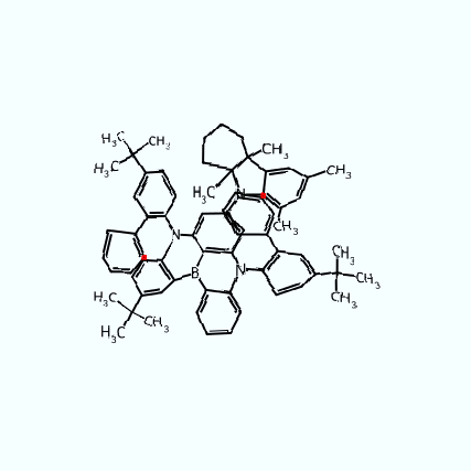 Cc1cc(C)c2c(c1)C1(C)CCCCC1(C)N2c1cc2c3c(c1)N(c1ccc(C(C)(C)C)cc1-c1ccccc1)c1ccc(C(C)(C)C)cc1B3c1ccccc1N2c1ccc(C(C)(C)C)cc1-c1ccccc1